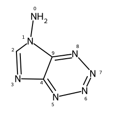 Nn1cnc2nnnnc21